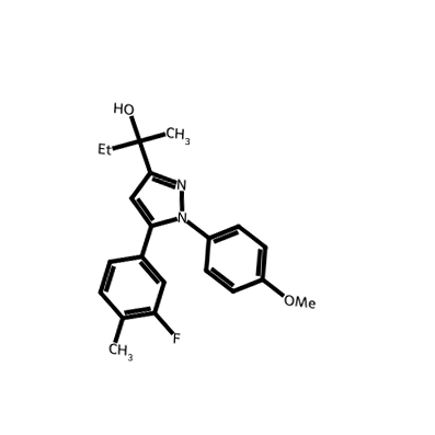 CCC(C)(O)c1cc(-c2ccc(C)c(F)c2)n(-c2ccc(OC)cc2)n1